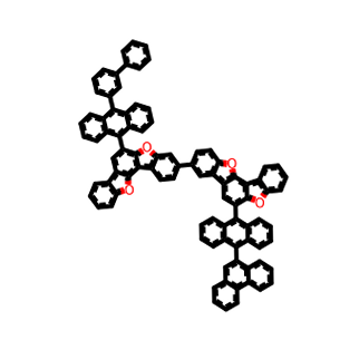 c1ccc(-c2cccc(-c3c4ccccc4c(-c4cc5c6ccccc6oc5c5c4oc4cc(-c6ccc7oc8c(cc(-c9c%10ccccc%10c(-c%10cc%11ccccc%11c%11ccccc%10%11)c%10ccccc9%10)c9oc%10ccccc%10c98)c7c6)ccc45)c4ccccc34)c2)cc1